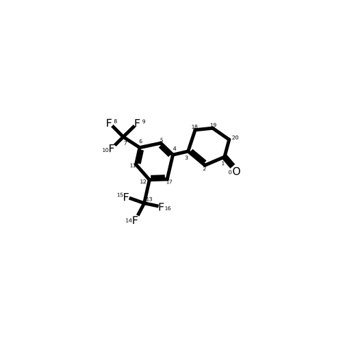 O=C1C=C(c2cc(C(F)(F)F)cc(C(F)(F)F)c2)CCC1